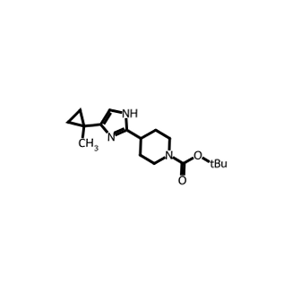 CC(C)(C)OC(=O)N1CCC(c2nc(C3(C)CC3)c[nH]2)CC1